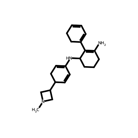 CN1CC(C2C=CC(NC3CCCC(N)=C3C3=CC=CCC3)=CC2)C1